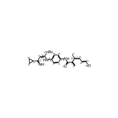 C=C(C(=O)Nc1ccc(N/C(=C\C(=N)C2CC2)CCCC)cc1)/C(C)=C\C=CCC